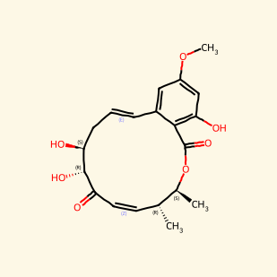 COc1cc(O)c2c(c1)/C=C/C[C@H](O)[C@@H](O)C(=O)/C=C\[C@@H](C)[C@H](C)OC2=O